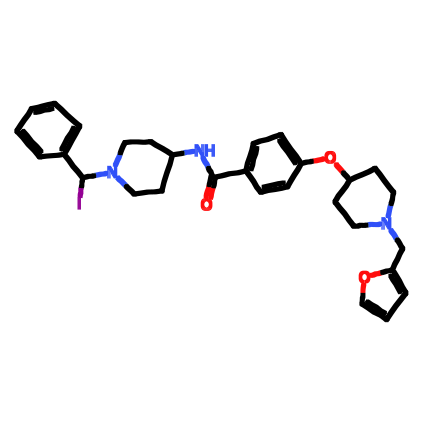 O=C(NC1CCN(C(I)c2ccccc2)CC1)c1ccc(OC2CCN(Cc3ccco3)CC2)cc1